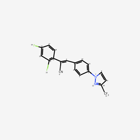 N#C/C(=C\c1ccc(-n2ccc(C(F)(F)F)n2)cc1)c1ccc(F)cc1F